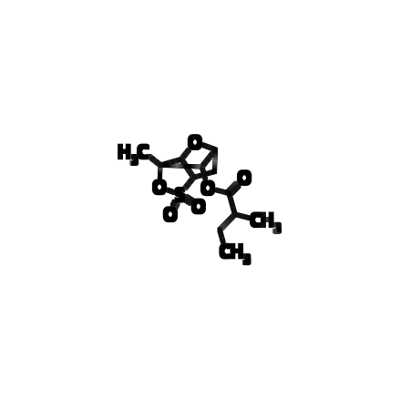 CCC(C)C(=O)OC1C2CC3C(O2)C1(C)OS3(=O)=O